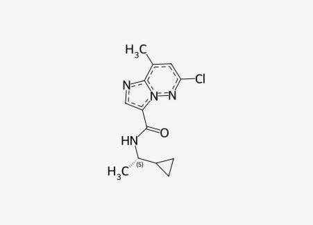 Cc1cc(Cl)nn2c(C(=O)N[C@@H](C)C3CC3)cnc12